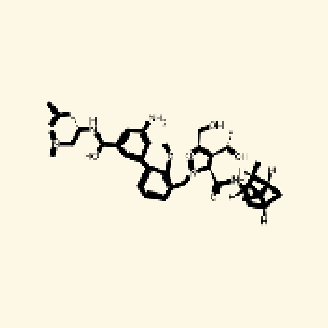 COc1c(CN2O[C@@H](CO)[C@@H]([C@H](C)O)[C@H]2C(=O)N[C@H]2C[C@H]3C[C@@H]([C@@H]2C)C3(C)C)cccc1-c1cc(N)cc(C(O)N[C@@H](CC(C)C)CN(C)C)c1